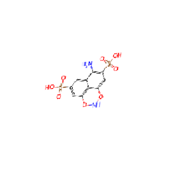 Nc1c(S(=O)(=O)O)cc2c3c(cc(S(=O)(=O)O)cc13)ONO2